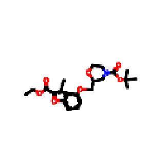 CCOC(=O)c1oc2cccc(OCC3CN(C(=O)OC(C)(C)C)CCO3)c2c1C